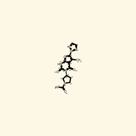 Cc1c(-n2nccn2)sc2[nH]c(=O)n([C@H]3CCN(C(=O)C(C)C)C3)c(=O)c12